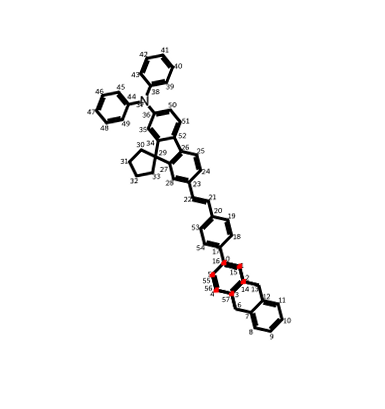 C1=CC2=C(CC1)C1c3ccccc3C2c2cc(-c3ccc(/C=C/c4ccc5c(c4)C4(CCCC4)c4cc(N(c6ccccc6)c6ccccc6)ccc4-5)cc3)ccc21